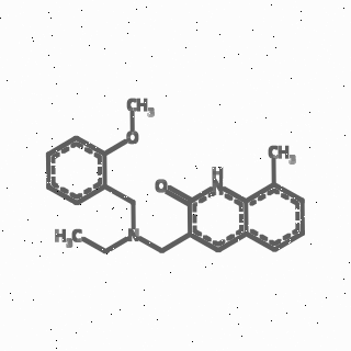 CCN(Cc1ccccc1OC)Cc1cc2cccc(C)c2[nH]c1=O